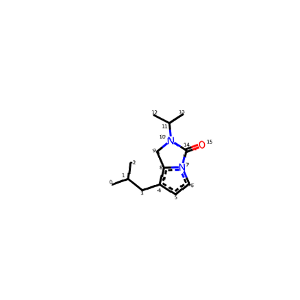 CC(C)Cc1ccn2c1CN(C(C)C)C2=O